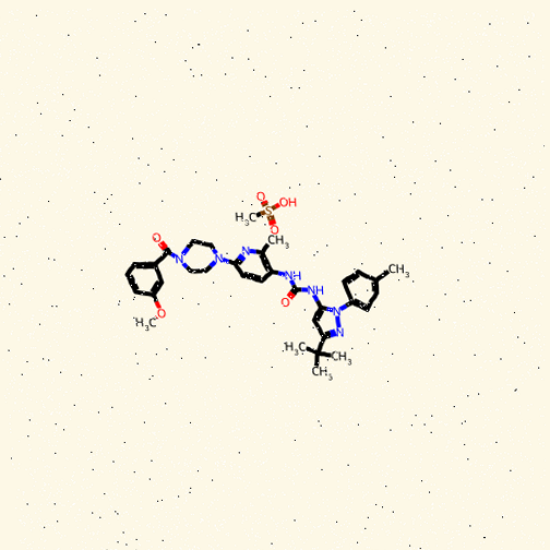 COc1cccc(C(=O)N2CCN(c3ccc(NC(=O)Nc4cc(C(C)(C)C)nn4-c4ccc(C)cc4)c(C)n3)CC2)c1.CS(=O)(=O)O